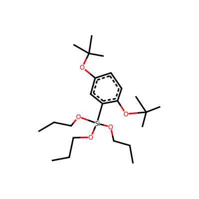 CCCO[Si](OCCC)(OCCC)c1cc(OC(C)(C)C)ccc1OC(C)(C)C